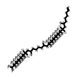 C=CCCCCC(I)CC(C)(C)C(F)(F)C(F)(F)C(F)(F)C(F)(F)C(F)(F)C(F)(F)CC(I)CCCCC(I)CC(C)(C)C(F)(F)C(F)(F)C(F)(F)C(F)(F)C(F)(F)C(F)F